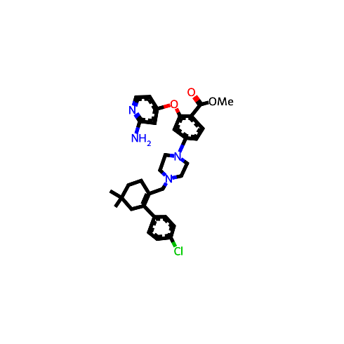 COC(=O)c1ccc(N2CCN(CC3=C(c4ccc(Cl)cc4)CC(C)(C)CC3)CC2)cc1Oc1ccnc(N)c1